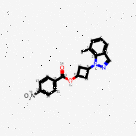 Cc1cccc2cnn(C3CC(OC(=O)c4ccc([N+](=O)[O-])cc4)C3)c12